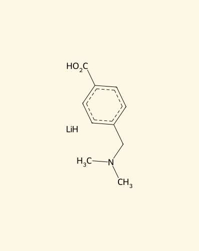 CN(C)Cc1ccc(C(=O)O)cc1.[LiH]